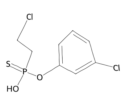 OP(=S)(CCCl)Oc1cccc(Cl)c1